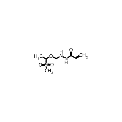 C=CC(=O)NNCOC(C)S(C)(=O)=O